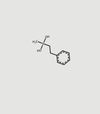 C[Si](O)(O)CCc1ccccc1